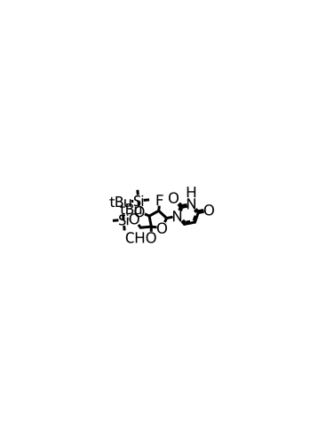 CC(C)(C)[Si](C)(C)OCC1(C=O)OC(n2ccc(=O)[nH]c2=O)C(F)C1O[Si](C)(C)C(C)(C)C